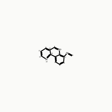 C=Nc1cccc2c1ncc1cccnc12